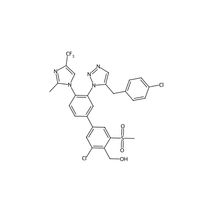 Cc1nc(C(F)(F)F)cn1-c1ccc(-c2cc(Cl)c(CO)c(S(C)(=O)=O)c2)cc1-n1nncc1Cc1ccc(Cl)cc1